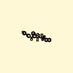 O=C(CNS(=O)(=O)c1ccc2ccccc2c1)NC(CNC(=O)C1CCN(c2ccncc2)CC1)C(=O)N1CCCCC1